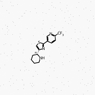 FC(F)(F)c1ccc(-c2nc([C@H]3CCCCN3)cs2)cn1